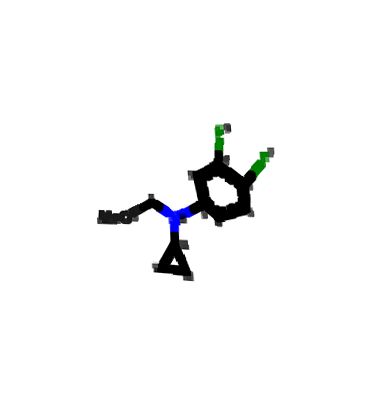 COCN(c1ccc(F)c(F)c1)C1CC1